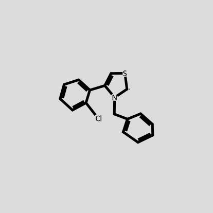 Clc1ccccc1C1=CS[CH]N1Cc1ccccc1